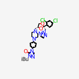 CCC(C)n1ncn(-c2ccc(N3CCN(C[C@@H]4CO[C@@](Cn5nccn5)(c5ccc(Cl)cc5Cl)O4)CC3)cc2)c1=O